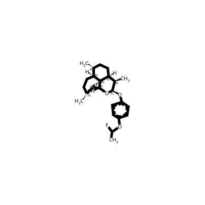 CC(F)Oc1ccc(O[C@H]2O[C@@H]3O[C@]4(C)CC[C@H]5[C@H](C)CC[C@@H]([C@H]2C)[C@@]35OO4)cc1